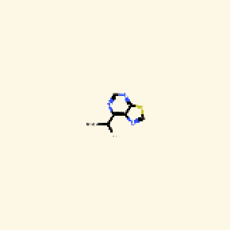 CCCCCCC(CC)c1ncnc2scnc12